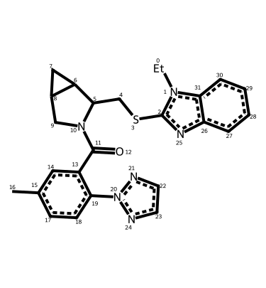 CCn1c(SCC2C3CC3CN2C(=O)c2cc(C)ccc2-n2nccn2)nc2ccccc21